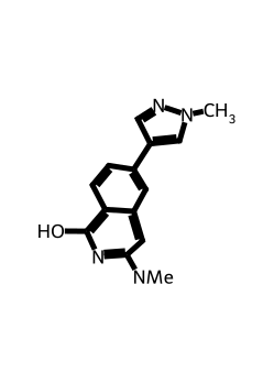 CNc1cc2cc(-c3cnn(C)c3)ccc2c(O)n1